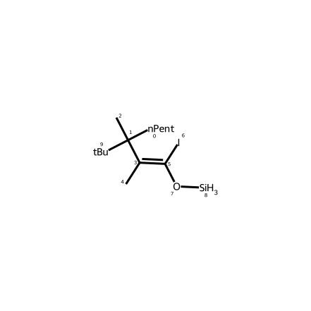 CCCCCC(C)(C(C)=C(I)O[SiH3])C(C)(C)C